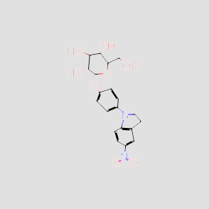 O=[N+]([O-])c1ccc2c(c1)CCN2c1ccc(O[C@H]2OC(CO)[C@@H](O)C(O)[C@H]2O)cc1